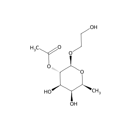 CC(=O)O[C@@H]1[C@@H](OCCO)O[C@@H](C)[C@@H](O)[C@H]1O